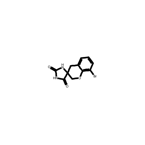 O=C1NC(=O)C2(COc3c(Br)cccc3C2)N1